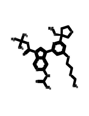 CCOCCOc1cc(-c2cn(C(=O)OC(C)(C)C)c3cnc(NC(C)=O)cc23)nc([C@]2(OC)CCOC2)c1